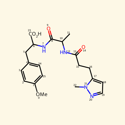 COc1ccc(CC(NC(=O)C(C)NC(=O)CCc2ccnn2C)C(=O)O)cc1